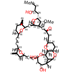 C=C1C[C@@H]2CC[C@@]3(O)C[C@@H](O)[C@H]4C5O[C@H]6CC[C@H](CC(=O)C[C@@H]7[C@@H](OC)[C@@H](C[C@H](O)CNC)O[C@H]7C[C@H]7O[C@H](CCC7=C)CC[C@@H]1O2)O[C@@H]6[C@H](O3)C54